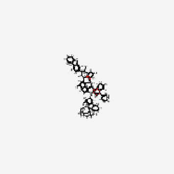 CCC1(C)CC2CC3CC4CC32CC1C41c2ccccc2-c2cc(N(c3ccc4ccccc4c3)c3ccc4c(C)cc5c(CC(c6ccc7c(c6)sc6ccccc67)C(C)c6ccccc6)ccc6cc(-c7ccc(-c8cccnc8)cc7)c3c4c65)cc(C)c21